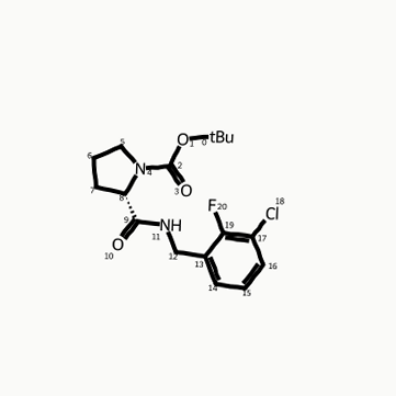 CC(C)(C)OC(=O)N1CCC[C@H]1C(=O)NCc1cccc(Cl)c1F